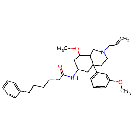 C=CCN1CCC2(c3cccc(OC)c3)CC(NC(=O)CCCCCc3ccccc3)CC(OC)C2C1